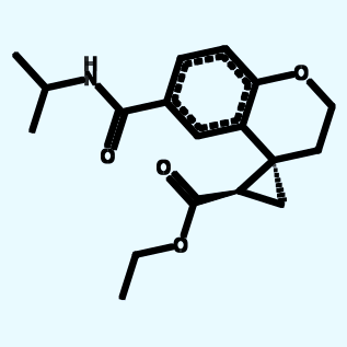 CCOC(=O)[C@@H]1C[C@]12CCOc1ccc(C(=O)NC(C)C)cc12